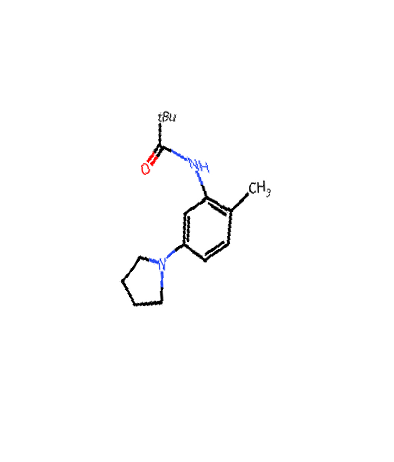 Cc1ccc(N2CCCC2)cc1NC(=O)C(C)(C)C